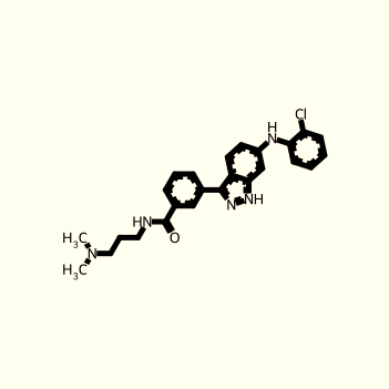 CN(C)CCCNC(=O)c1cccc(-c2n[nH]c3cc(Nc4ccccc4Cl)ccc23)c1